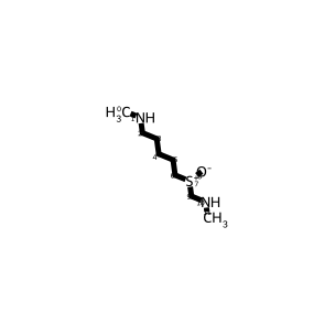 CNCCCCC[S+]([O-])CNC